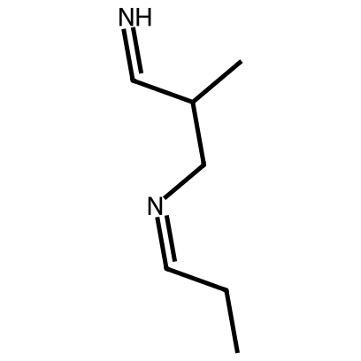 CC/C=N\CC(C)C=N